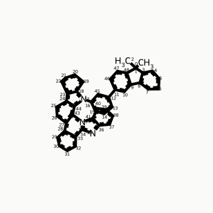 CC1(C)c2ccccc2-c2cc(-c3cccc(-n4c5ccccc5c5ccc6c7ccccc7c7nc8ccccc8n7c6c54)c3)ccc21